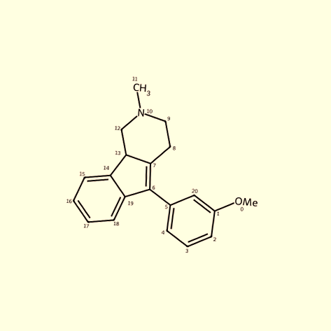 COc1cccc(C2=C3CCN(C)CC3c3ccccc32)c1